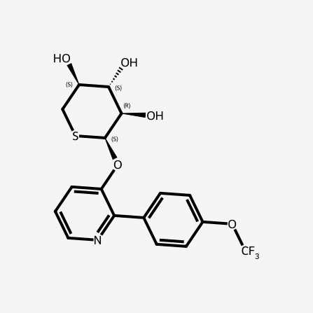 O[C@@H]1[C@@H](O)[C@@H](Oc2cccnc2-c2ccc(OC(F)(F)F)cc2)SC[C@H]1O